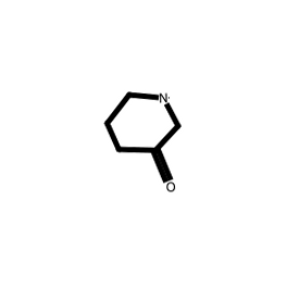 O=C1CCC[N]C1